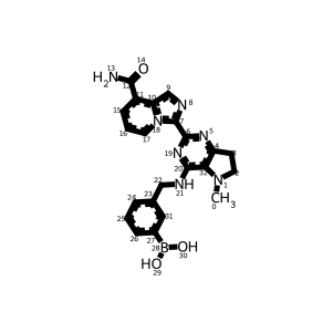 CN1CCc2nc(-c3ncc4c(C(N)=O)cccn34)nc(NCc3cccc(B(O)O)c3)c21